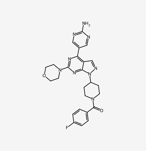 Nc1ncc(-c2nc(N3CCOCC3)nc3c2cnn3C2CCN(C(=O)c3ccc(F)cc3)CC2)cn1